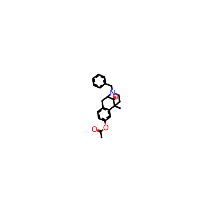 CC(=O)Oc1ccc2c(c1)C1(C)CCN(Cc3ccccc3)C(C2)C1=O